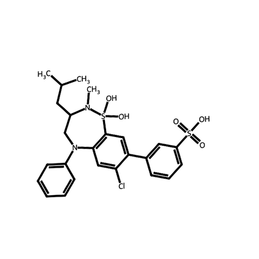 CC(C)CC1CN(c2ccccc2)c2cc(Cl)c(-c3cccc(S(=O)(=O)O)c3)cc2S(O)(O)N1C